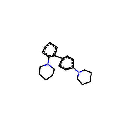 [c]1ccc(-c2ccc(N3CCCCC3)cc2)c(N2CCCCC2)c1